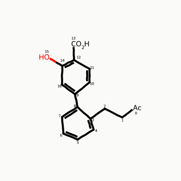 CC(=O)CCc1ccccc1-c1ccc(C(=O)O)c(O)c1